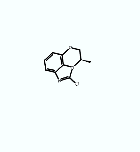 C[C@@H]1COc2cccc3nc(Cl)n1c23